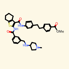 COC(=O)c1ccc(CCc2ccc(NC(=O)c3c(NC(=O)c4cccc(CNC5CCN(C)CC5)c4)sc4c3CCCC4)cc2)cc1